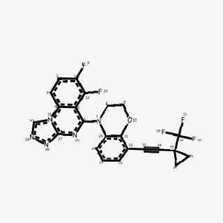 Fc1ccc2c(c(N3CCOc4c(C#CC5(C(F)(F)F)CC5)cccc43)nc3nncn32)c1F